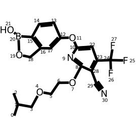 CC(C)COCCOc1nc(Oc2ccc3c(c2)COB3O)cc(C(F)(F)F)c1C#N